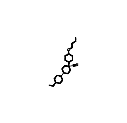 CCCCOC1CCC([C@]2(C#N)CC[C@@H](C3CCC(CC)CC3)CC2)CC1